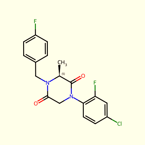 C[C@H]1C(=O)N(c2ccc(Cl)cc2F)CC(=O)N1Cc1ccc(F)cc1